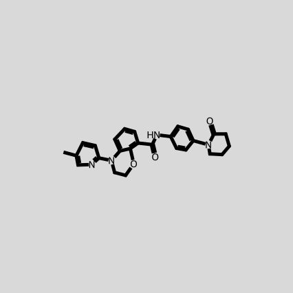 Cc1ccc(N2CCOc3c(C(=O)Nc4ccc(N5CCCCC5=O)cc4)cccc32)nc1